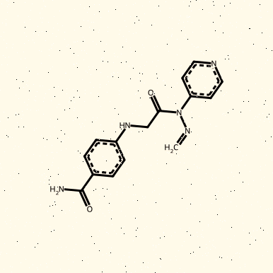 C=NN(C(=O)CNc1ccc(C(N)=O)cc1)c1ccncc1